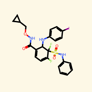 O=C(NOCC1CC1)C1=CC=C(F)C(F)(S(=O)(=O)Nc2ccccc2)C1Nc1ccc(I)cc1